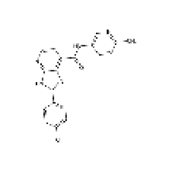 Cc1ccc(NC(=O)c2ccnc3[nH]c(-c4ccc(Cl)cc4)nc23)cn1